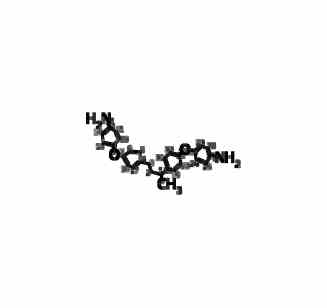 CC(CCc1ccc(Oc2ccc(N)cc2)cc1)c1ccc(Oc2ccc(N)cc2)cc1